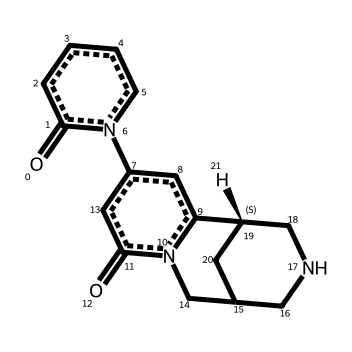 O=c1ccccn1-c1cc2n(c(=O)c1)CC1CNC[C@@H]2C1